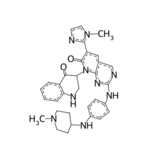 CN1CCC(Nc2ccc(Nc3ncc4cc(-c5nccn5C)c(=O)n(C5CNc6ccccc6C5=O)c4n3)cc2)CC1